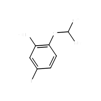 CCCC(CCC)Oc1ccc(I)cc1C=O